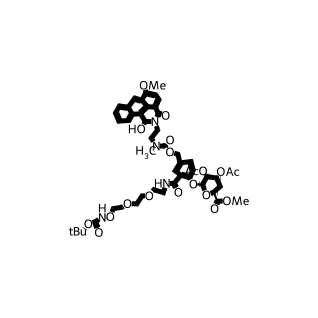 COC(=O)[C@@H]1C[C@H](OC(C)=O)[C@@H](OC(C)=O)[C@H](Oc2ccc(COC(=O)N(C)CCN3C(=O)c4ccc(OC)c5cc6ccccc6c(c45)C3O)cc2C(=O)NCCOCCOCCONC(=O)OC(C)(C)C)O1